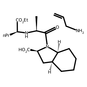 C=CCN.CCC[C@H](N[C@@H](C)C(=O)N1[C@H](C(=O)O)C[C@@H]2CCCC[C@@H]21)C(=O)OCC